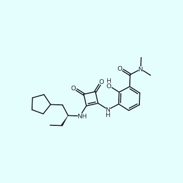 CC[C@@H](CC1CCCC1)Nc1c(Nc2cccc(C(=O)N(C)C)c2O)c(=O)c1=O